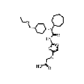 CCOC[C@H]1CC[C@H](N(C(=O)Nc2ncc(SCC(=O)O)s2)C2CCCCCC2)CC1